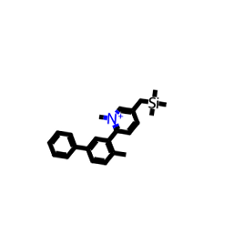 Cc1ccc(-c2ccccc2)cc1-c1ccc(C[Si](C)(C)C)c[n+]1C